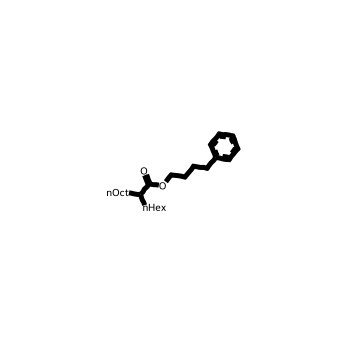 CCCCCCCCC(CCCCCC)C(=O)OCCCCc1ccccc1